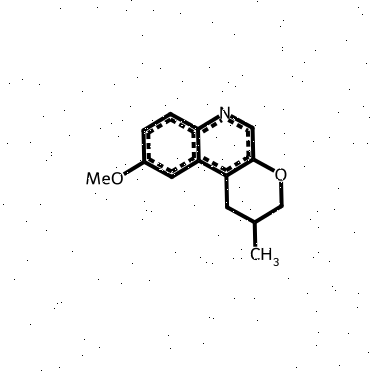 COc1ccc2ncc3c(c2c1)CC(C)CO3